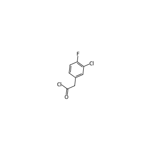 O=C(Cl)Cc1ccc(F)c(Cl)c1